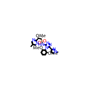 COc1cccc(OC)c1-n1c(NS(=O)(=O)[C@@H](C)[C@H](OC)c2ncc(C)cn2)nnc1-c1ccn(C)n1